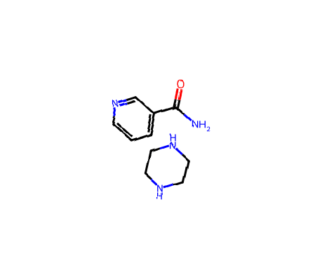 C1CNCCN1.NC(=O)c1cccnc1